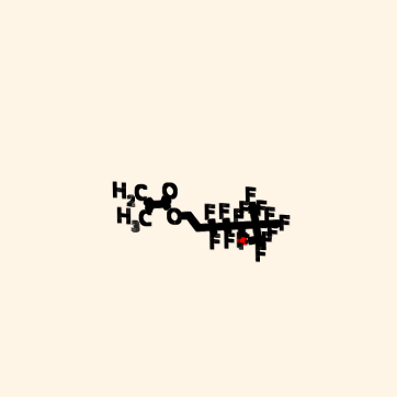 C=C(C)C(=O)OCCC(F)(F)C(F)(F)C(F)(F)C(C(F)(F)F)(C(F)(F)F)C(F)(F)F